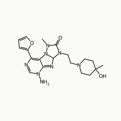 CN1C(=O)N(CCN2CCC(C)(O)CC2)C2N=C3C(=C(c4ccco4)N=CN3N)N21